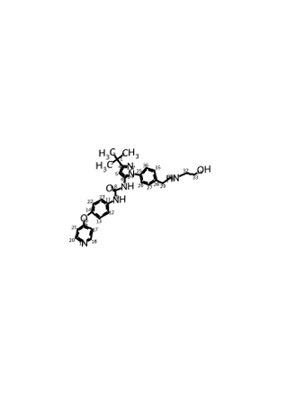 CC(C)(C)c1cc(NC(=O)Nc2ccc(Oc3ccncc3)cc2)n(-c2ccc(CCNCCO)cc2)n1